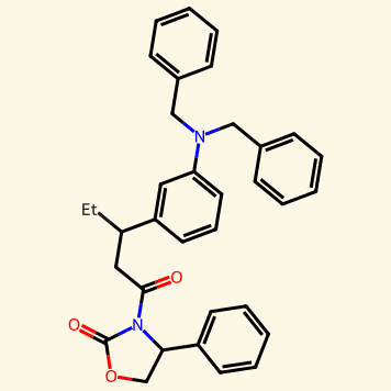 CCC(CC(=O)N1C(=O)OCC1c1ccccc1)c1cccc(N(Cc2ccccc2)Cc2ccccc2)c1